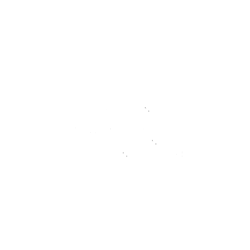 COC(=O)c1ncn2c(Cl)cc(Cl)nc12